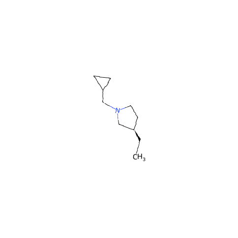 CC[C@@H]1CCN(CC2CC2)C1